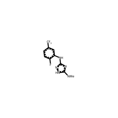 CNc1nc(Nc2cc(C(F)(F)F)ccc2F)n[nH]1